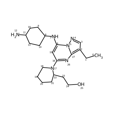 CCc1cnn2c(NC3CCC(N)CC3)cc(N3CCCCC3CCO)nc12